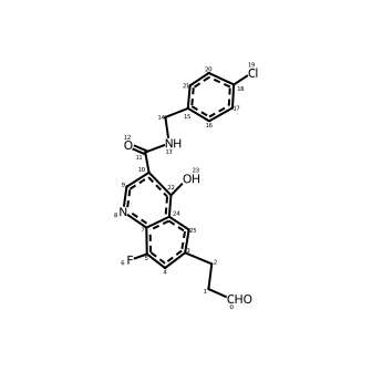 O=CCCc1cc(F)c2ncc(C(=O)NCc3ccc(Cl)cc3)c(O)c2c1